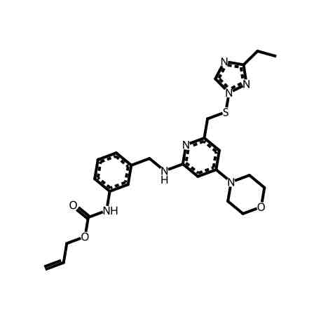 C=CCOC(=O)Nc1cccc(CNc2cc(N3CCOCC3)cc(CSn3cnc(CC)n3)n2)c1